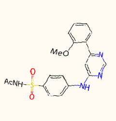 COc1ccccc1-c1cc(Nc2ccc(S(=O)(=O)NC(C)=O)cc2)ncn1